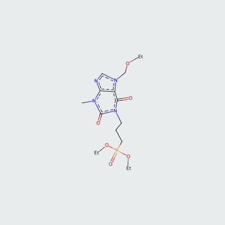 CCOCn1cnc2c1c(=O)n(CCCP(=O)(OCC)OCC)c(=O)n2C